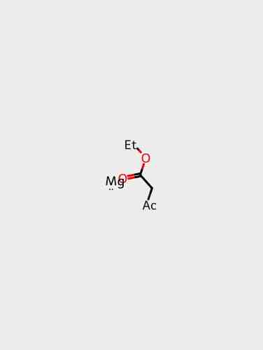 CCOC(=O)CC(C)=O.[Mg]